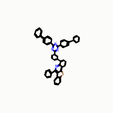 c1ccc(-c2ccc(-c3nc(-c4ccc(-c5ccccc5)cc4)nc(-c4cccc(-c5cccc6c5nc(-c5ccccc5)c5c7ccccc7sc65)c4)n3)cc2)cc1